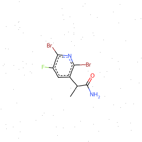 CC(C(N)=O)c1cc(F)c(Br)nc1Br